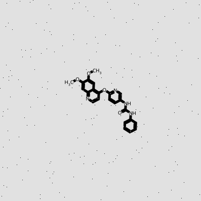 COc1cc2nccc(Oc3ccc(NC(=O)Nc4ccccc4)cn3)c2cc1OC